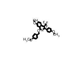 COc1ccc(COc2nc(-c3ccc(OC)cc3)c(C(F)(F)F)c3ccc(OC)cc23)cc1